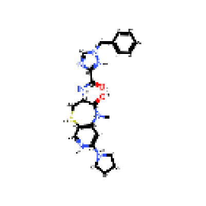 CN1C(=O)[C@@H](NC(=O)c2ncn(Cc3ccccc3)n2)CSc2cnc(N3CCCC3)cc21